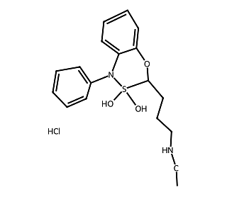 CCNCCCC1Oc2ccccc2N(c2ccccc2)S1(O)O.Cl